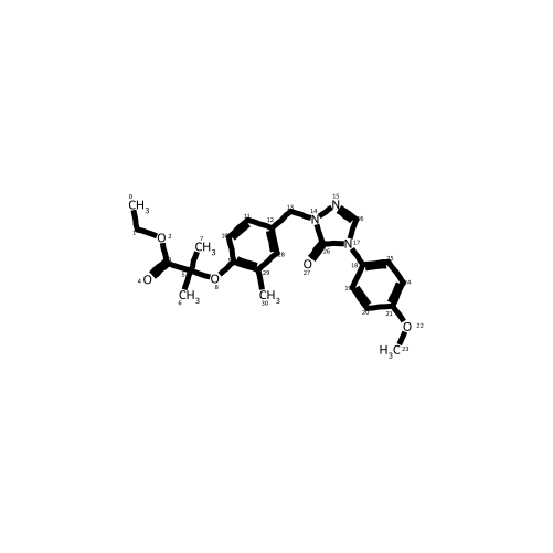 CCOC(=O)C(C)(C)Oc1ccc(Cn2ncn(-c3ccc(OC)cc3)c2=O)cc1C